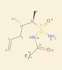 C=CC[C@H](C)[C@@H](C)[SH](N)(=O)NC(=O)C(F)(F)F